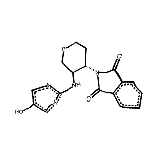 O=C1c2ccccc2C(=O)N1[C@H]1CCOCC1Nc1ncc(O)cn1